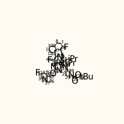 CC(C)[Si](C#Cc1c(F)ccc2cccc(-c3ncc4c(N(C)[C@@H]5CCN(C(=O)OC(C)(C)C)C5)nc(OC[C@@]56CCCN5C[C@H](F)C6)nc4c3F)c12)(C(C)C)C(C)C